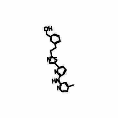 Cc1ccnc(Nc2cccc(-c3cnc(CCc4cccc(CO)c4)s3)n2)c1